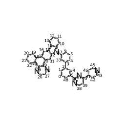 c1cc(-c2cccc(-n3c4ccccc4c4cc5c6ccccc6c6nccnc6c5cc43)c2)cc(-c2nccc(-c3ccncc3)n2)c1